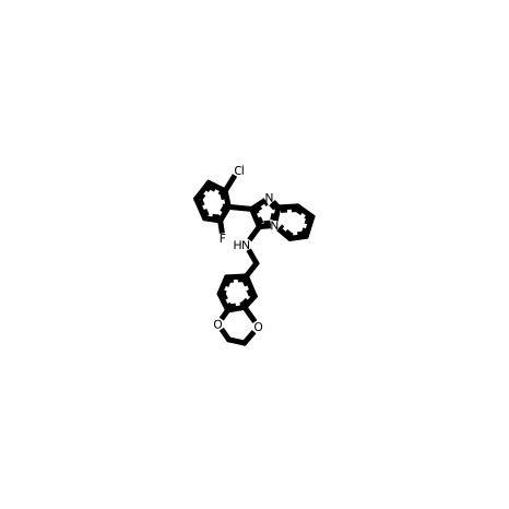 Fc1cccc(Cl)c1-c1nc2ccccn2c1NCc1ccc2c(c1)OCCO2